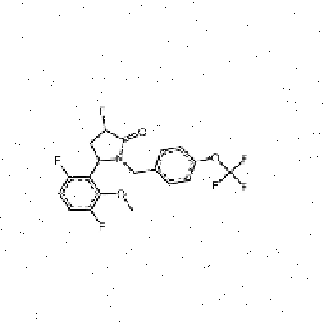 COc1c(F)ccc(F)c1C1CC(F)C(=O)N1Cc1ccc(OC(F)(F)F)cc1